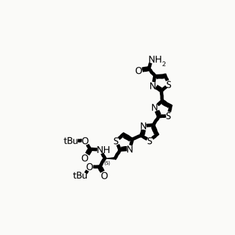 CC(C)(C)OC(=O)N[C@@H](Cc1nc(-c2nc(-c3nc(-c4nc(C(N)=O)cs4)cs3)cs2)cs1)C(=O)OC(C)(C)C